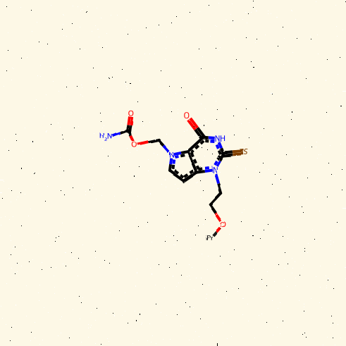 CC(C)OCCn1c(=S)[nH]c(=O)c2c1ccn2COC(N)=O